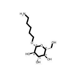 NCCCCCO[C@@H]1O[C@H](CO)[C@@H](O)[C@H](O)[C@H]1O